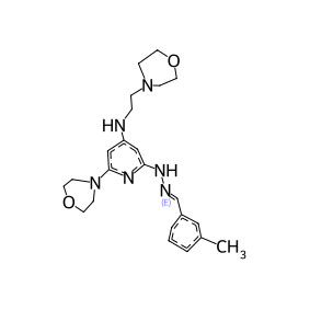 Cc1cccc(/C=N/Nc2cc(NCCN3CCOCC3)cc(N3CCOCC3)n2)c1